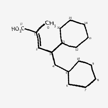 CC(=CC(CC1CCCCC1)C1CCCCC1)C(=O)O